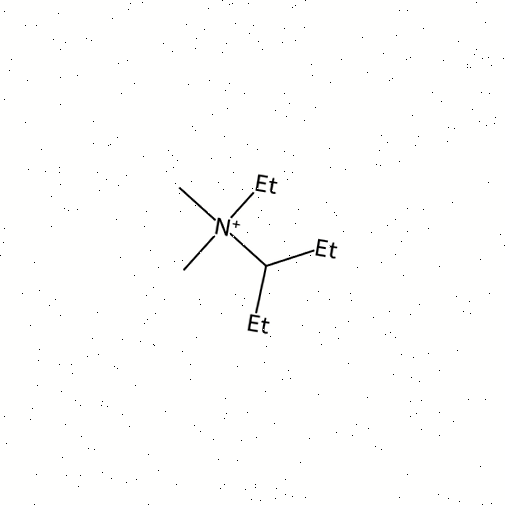 CCC(CC)[N+](C)(C)CC